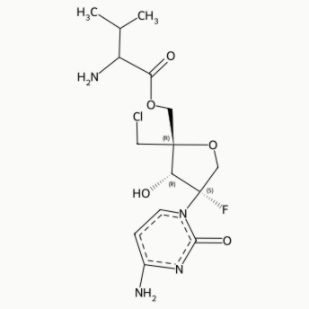 CC(C)C(N)C(=O)OC[C@@]1(CCl)OC[C@@](F)(n2ccc(N)nc2=O)[C@@H]1O